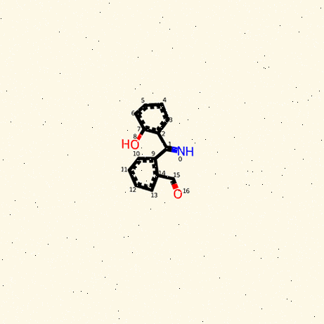 N=C(c1ccccc1O)c1ccccc1C=O